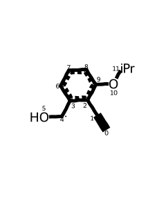 C#Cc1c([CH]O)cccc1OC(C)C